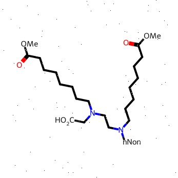 CCCCCCCCCN(CCCCCCCC(=O)OC)CCN(CCCCCCCC(=O)OC)CC(=O)O